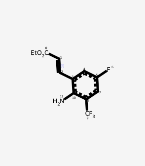 CCOC(=O)/C=C/c1cc(F)cc(C(F)(F)F)c1N